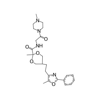 Cc1oc(-c2ccccc2)nc1CCC1COC(C)(C(=O)NCC(=O)N2CCN(C)CC2)OC1